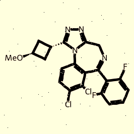 CO[C@H]1C[C@H](c2nnc3n2-c2ccc(Cl)c(Cl)c2C(c2c(F)cccc2F)=NC3)C1